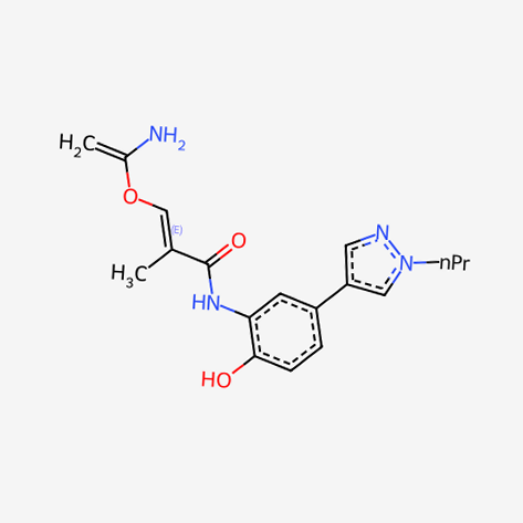 C=C(N)O/C=C(\C)C(=O)Nc1cc(-c2cnn(CCC)c2)ccc1O